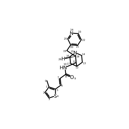 Cc1ccsc1C=CC(=O)NC1C2CCN(CC2)[C@H]1Cc1cccnc1